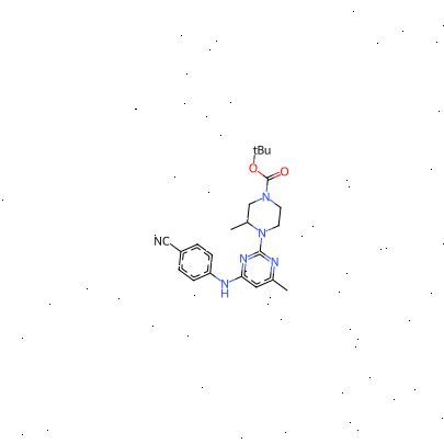 Cc1cc(Nc2ccc(C#N)cc2)nc(N2CCN(C(=O)OC(C)(C)C)CC2C)n1